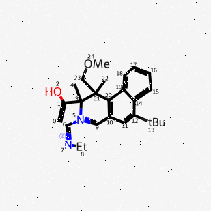 C=C(O)C1(C)[N+](/C=N\CC)=Cc2cc(C(C)(C)C)c3ccccc3c2C1(C)COC